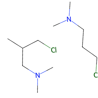 CC(CCl)CN(C)C.CN(C)CCCCl